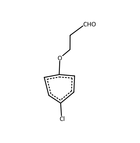 O=CCCOc1ccc(Cl)cc1